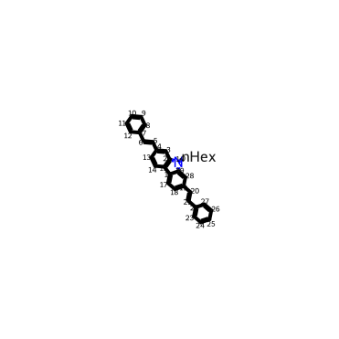 CCCCCCn1c2cc(/C=C/c3ccccc3)ccc2c2ccc(/C=C/c3ccccc3)cc21